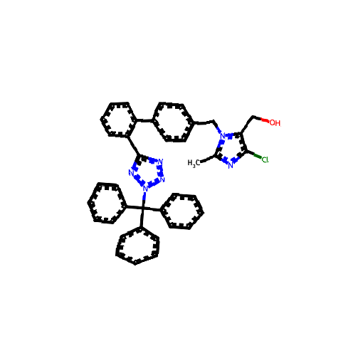 Cc1nc(Cl)c(CO)n1Cc1ccc(-c2ccccc2-c2nnn(C(c3ccccc3)(c3ccccc3)c3ccccc3)n2)cc1